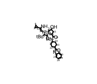 CC(C)(C)C(N/C=C(\N)C1CC1)C(=O)N1CC(O)CC1C(=O)NC1CCC(c2nc3ccccc3o2)CC1